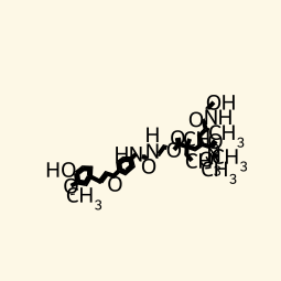 CCC(C)(CC(CC(C)C(=O)NCO)C(=O)N(C)OC)C(=O)OCCNC(=O)Nc1ccc(C(=O)/C=C/c2ccc(O)c(OC)c2)cc1